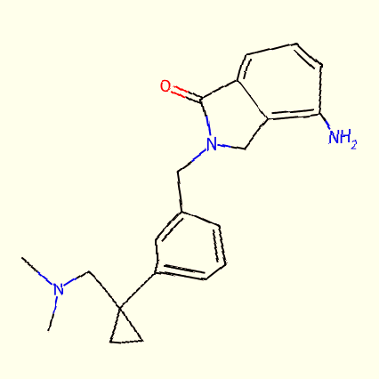 CN(C)CC1(c2cccc(CN3Cc4c(N)cccc4C3=O)c2)CC1